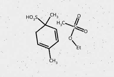 CC1=CCC(C)(S(=O)(=O)O)C=C1.CCOS(C)(=O)=O